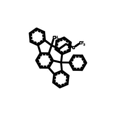 CC1(CCOC(F)(F)F)c2ccccc2-c2ccc3c(c21)C(c1ccccc1)(c1ccccc1)c1ccccc1-3